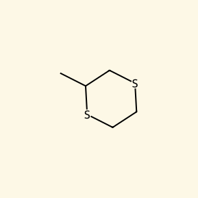 CC1CSCCS1